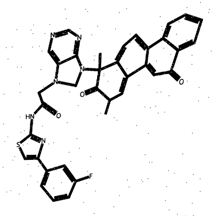 CC1C=c2c(ccc3c2=CC(=O)c2ccccc2-3)C(C)(N2CN(CC(=O)Nc3nc(-c4cccc(F)c4)cs3)c3cncnc32)C1=O